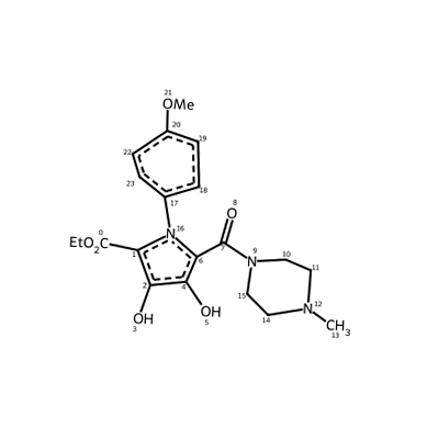 CCOC(=O)c1c(O)c(O)c(C(=O)N2CCN(C)CC2)n1-c1ccc(OC)cc1